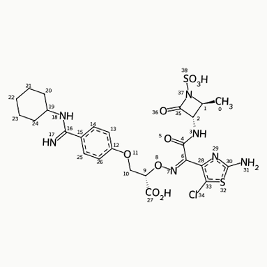 C[C@H]1[C@H](NC(=O)/C(=N\O[C@@H](COc2ccc(C(=N)NC3CCCCC3)cc2)C(=O)O)c2nc(N)sc2Cl)C(=O)N1S(=O)(=O)O